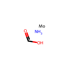 N.O=CO.[Mo]